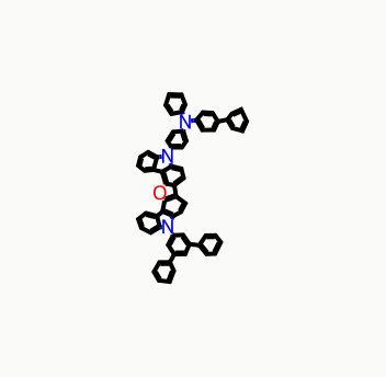 c1ccc(-c2ccc(N(c3ccccc3)c3ccc(-n4c5ccccc5c5c6oc7c(ccc8c7c7ccccc7n8-c7cc(-c8ccccc8)cc(-c8ccccc8)c7)c6ccc54)cc3)cc2)cc1